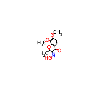 COc1ccc(C(=O)/C(=N/O)C(C)=O)cc1OC